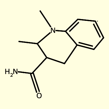 CC1C(C(N)=O)Cc2cc[c]cc2N1C